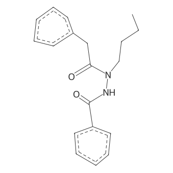 CCCCN(NC(=O)c1ccccc1)C(=O)Cc1ccccc1